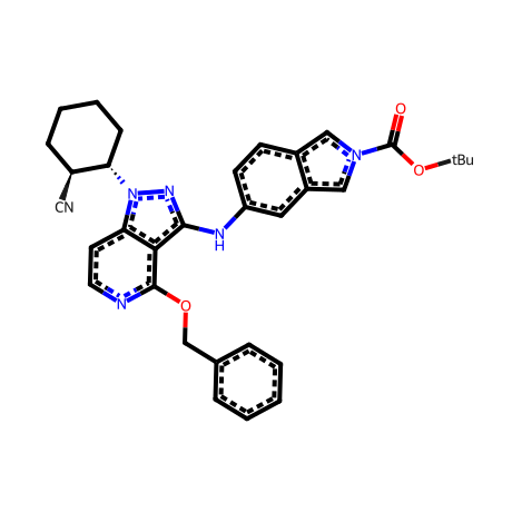 CC(C)(C)OC(=O)n1cc2ccc(Nc3nn([C@H]4CCCC[C@@H]4C#N)c4ccnc(OCc5ccccc5)c34)cc2c1